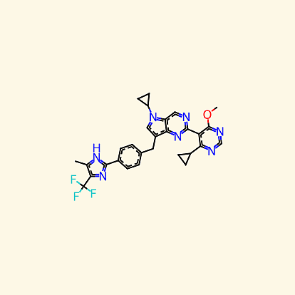 COc1ncnc(C2CC2)c1-c1ncc2c(n1)c(Cc1ccc(-c3nc(C(F)(F)F)c(C)[nH]3)cc1)cn2C1CC1